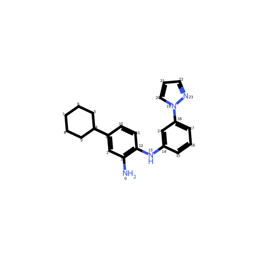 Nc1cc(C2CCCCC2)ccc1Nc1cccc(-n2cccn2)c1